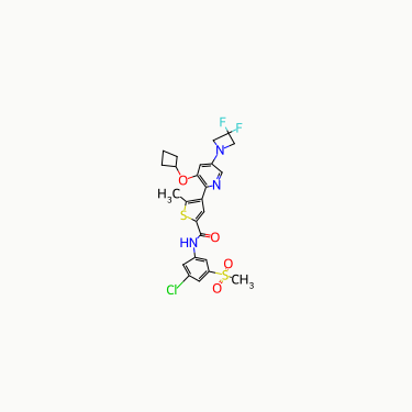 Cc1sc(C(=O)Nc2cc(Cl)cc(S(C)(=O)=O)c2)cc1-c1ncc(N2CC(F)(F)C2)cc1OC1CCC1